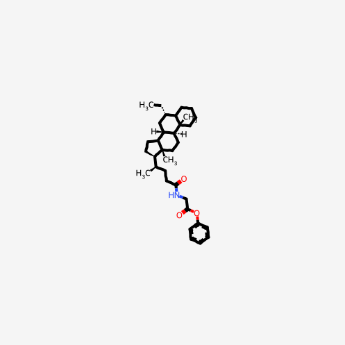 CC[C@H]1C[C@H]2C3CC[C@H]([C@H](C)CCC(=O)NCC(=O)Oc4ccccc4)[C@@]3(C)CC[C@@H]2[C@@]2(C)CCCCC12